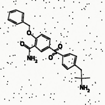 CC(C)(N)Cc1ccc(S(=O)(=O)c2ccc(OCc3ccccc3)c(C(N)=O)c2)cc1